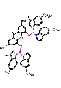 COc1ccc2c(ccn2P(Oc2cc(C(C)(C)C)cc3c2Oc2c(OP(n4ccc5cc(OC)ccc54)n4cc(C)c5cc(OC)ccc54)cc(C(C)(C)C)cc2C3(C)C)n2cc(C)c3cc(OC)ccc32)c1